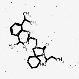 CCC(O)N1C(=O)N(CC(=O)Nc2c(C(C)C)cccc2C(C)C)CC12CCCCC2